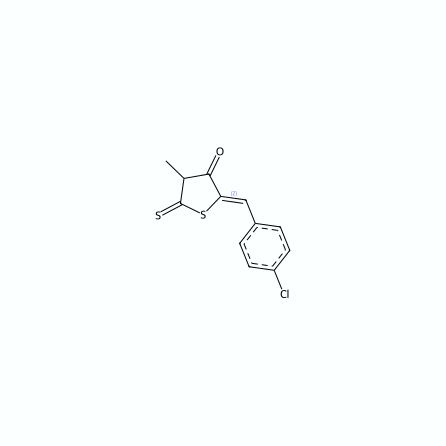 CC1C(=O)/C(=C/c2ccc(Cl)cc2)SC1=S